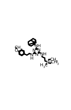 CC[N+](C)(CC)CCCNc1nc(NCCc2ccc(OC)cc2)nc(NC23CC4CC(CC(C4)C2)C3)n1